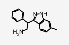 Cc1ccc2c(C(CN)c3ccccc3)n[nH]c2c1